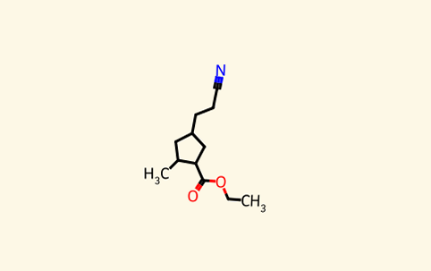 CCOC(=O)C1CC(CCC#N)CC1C